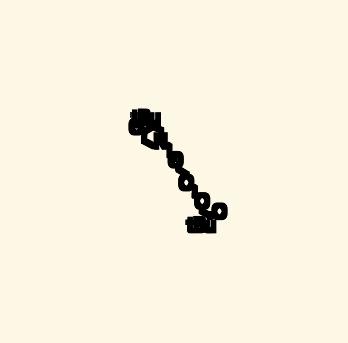 CC(C)(C)OC1CCN(CCOCCOCCOCC(=O)C(C)(C)C)CC1